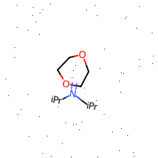 C1COCCO1.CC(C)NC(C)C